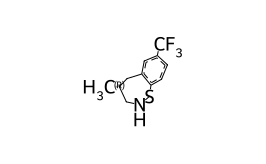 C[C@H]1CNSc2ccc(C(F)(F)F)cc2C1